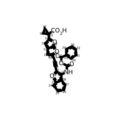 CC(OC(=O)Nc1c(C#Cc2cc3cc(C4(C(=O)O)CC4)oc3o2)oc2ccccc12)c1ccccc1